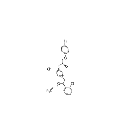 C=CCOC(C[n+]1ccn(CC(=O)COc2ccc(Cl)cc2)c1)c1ccccc1Cl.[Cl-]